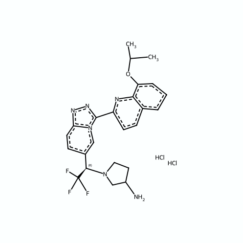 CC(C)Oc1cccc2ccc(-c3nnc4ccc([C@@H](N5CCC(N)C5)C(F)(F)F)cn34)nc12.Cl.Cl